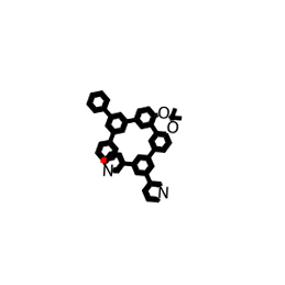 CC1(C)Oc2ccc(-c3cc(-c4ccccc4)cc(-c4ccccc4)c3)cc2-c2cc(-c3cc(-c4cccnc4)cc(-c4cccnc4)c3)ccc2O1